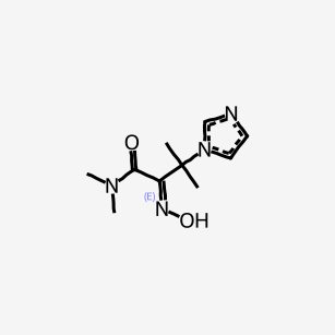 CN(C)C(=O)/C(=N/O)C(C)(C)n1ccnc1